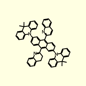 CC1(C)c2ccccc2N(c2ccc3c(-c4ccc5ccccc5n4)c4cc(N5c6ccccc6C(C)(C)c6ccccc65)ccc4c(C4=Nc5ccccc5CC4)c3c2)c2ccccc21